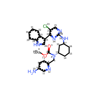 CC(C)(C)OC(=O)N(Cc1ccc(N)cn1)[C@H]1CCCC(Nc2ncc(Cl)c(-c3c[nH]c4ccccc34)n2)C1